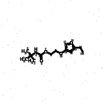 CC(C)(C)NC(=O)OCCOc1cc(CI)on1